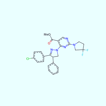 COC(=O)c1cnc(N2CCC(F)(F)C2)nc1N1CC(c2ccccc2)C(c2ccc(Cl)cc2)=N1